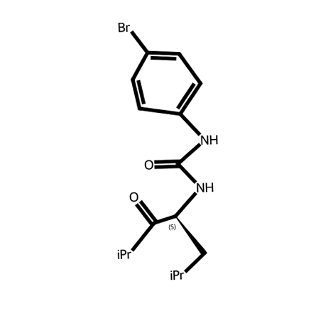 [CH2]C(C)C(=O)[C@H](CC(C)C)NC(=O)Nc1ccc(Br)cc1